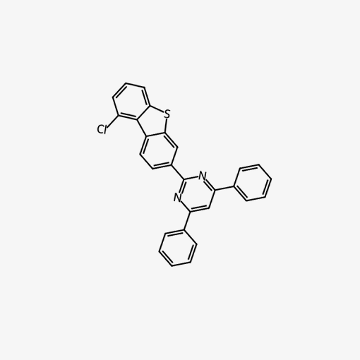 Clc1cccc2sc3cc(-c4nc(-c5ccccc5)cc(-c5ccccc5)n4)ccc3c12